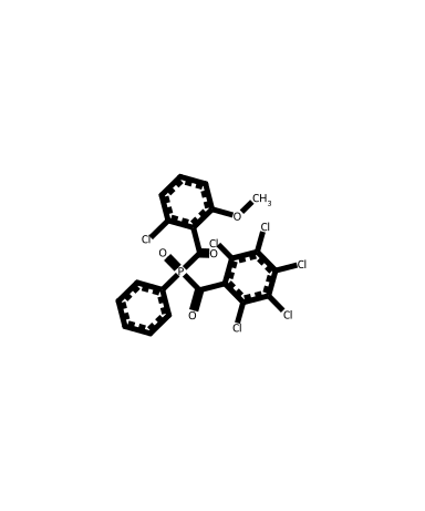 COc1cccc(Cl)c1C(=O)P(=O)(C(=O)c1c(Cl)c(Cl)c(Cl)c(Cl)c1Cl)c1ccccc1